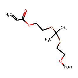 C=CC(=O)OCCSC(C)(C)SCCOCCCCCCCC